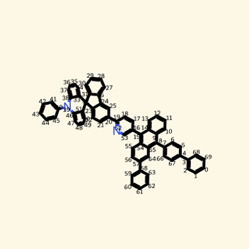 c1ccc(-c2ccc(-c3c4ccccc4c(-c4ccc(-c5ccc6c(c5)-c5ccccc5C65c6ccccc6N(c6ccccc6)c6ccccc65)nc4)c4ccc(-c5ccccc5)cc34)cc2)cc1